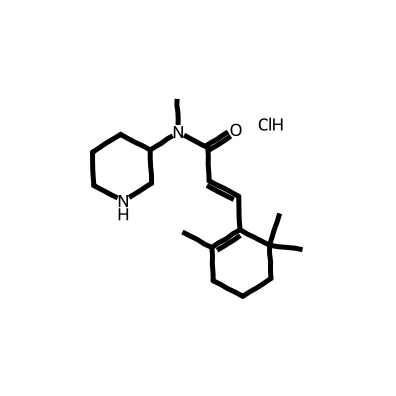 CC1=C(/C=C/C(=O)N(C)C2CCCNC2)C(C)(C)CCC1.Cl